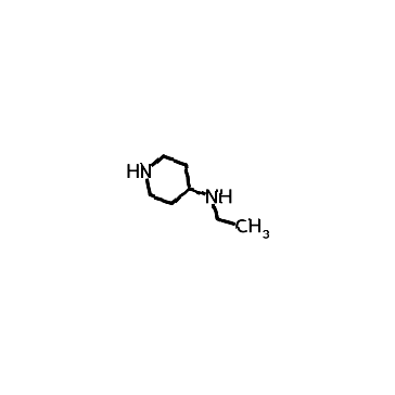 CCNC1CCNCC1